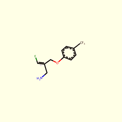 NC/C(=C/F)COc1ccc(C(F)(F)F)cc1